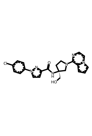 O=C(N[C@@]1(CO)CCN(c2nccn3cccc23)C1)c1ccn(-c2ccc(Cl)cc2)n1